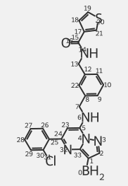 Bc1cnn2c(NCc3cccc(CNC(=O)c4ccsc4)c3)cc(-c3ccccc3Cl)nc12